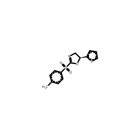 Cc1ccc(S(=O)(=O)C2=NC[C@@H](c3cccs3)O2)cc1